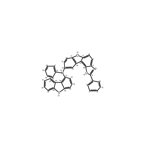 c1ccc(-c2nc3ccc4oc5ccc(N(c6ccccc6)c6cccc7sc8ccccc8c67)cc5c4c3o2)cc1